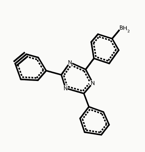 Bc1ccc(-c2nc(-c3cc#ccc3)nc(-c3ccccc3)n2)cc1